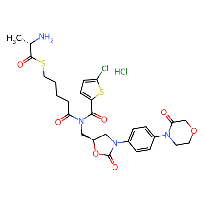 C[C@H](N)C(=O)SCCCCC(=O)N(C[C@H]1CN(c2ccc(N3CCOCC3=O)cc2)C(=O)O1)C(=O)c1ccc(Cl)s1.Cl